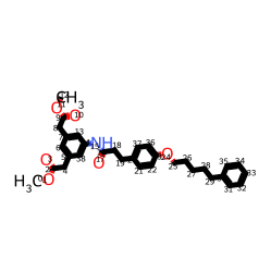 COC(=O)Cc1cc(CC(=O)OC)cc(NC(=O)CCc2ccc(OCCCCCc3ccccc3)cc2)c1